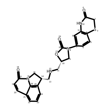 O=C1CSc2ccc(N3C[C@H](CNC[C@H]4Cn5c(=O)ccc6cccc4c65)OC3=O)cc2N1